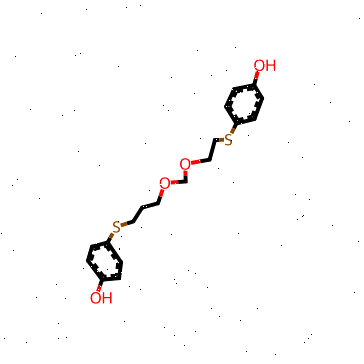 Oc1ccc(SCCCOCOCCSc2ccc(O)cc2)cc1